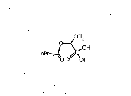 CCCC(=O)OC(C(Cl)(Cl)Cl)P(O)(O)=S